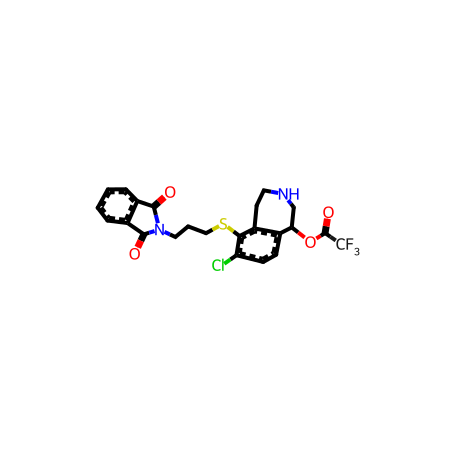 O=C1c2ccccc2C(=O)N1CCCSc1c(Cl)ccc2c1CCNCC2OC(=O)C(F)(F)F